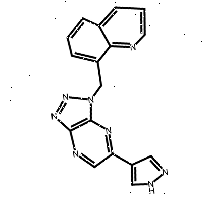 c1cnc2c(Cn3nnc4ncc(-c5cn[nH]c5)nc43)cccc2c1